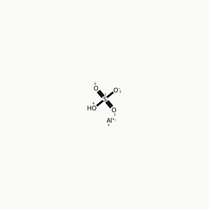 O=S(=O)([O-])O.[Al+]